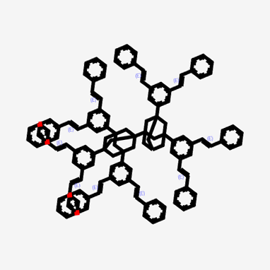 C(=C\c1cc(/C=C/c2ccccc2)cc(C23CC4CC(c5cc(/C=C/c6ccccc6)cc(/C=C/c6ccccc6)c5)(C2)CC(C25CC6(c7cc(/C=C/c8ccccc8)cc(/C=C/c8ccccc8)c7)CC(c7cc(/C=C/c8ccccc8)cc(/C=C/c8ccccc8)c7)(CC(c7cc(/C=C/c8ccccc8)cc(/C=C/c8ccccc8)c7)(C6)C2)C5)(C4)C3)c1)/c1ccccc1